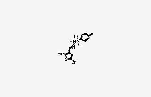 Cc1ccc(S(=O)(=O)N/N=C/c2cc(Br)sc2Br)cc1